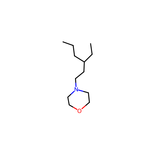 CCCC(CC)CCN1CCOCC1